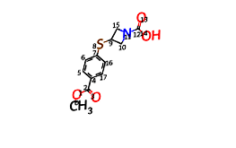 COC(=O)c1ccc(SC2CN(C(=O)O)C2)cc1